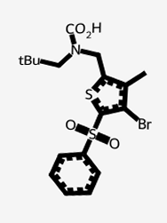 Cc1c(CN(CC(C)(C)C)C(=O)O)sc(S(=O)(=O)c2ccccc2)c1Br